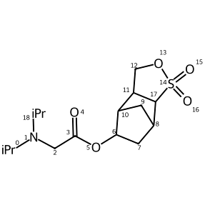 CC(C)N(CC(=O)OC1CC2CC1C1COS(=O)(=O)C21)C(C)C